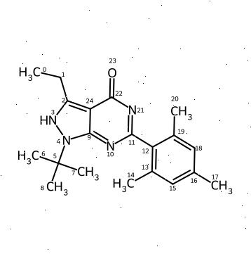 CCc1[nH]n(C(C)(C)C)c2nc(-c3c(C)cc(C)cc3C)nc(=O)c1-2